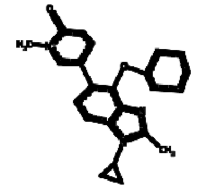 Cc1nc2c(Oc3ccccc3)c(-c3ccc(=O)n(C)c3)ccc2n1C1CC1